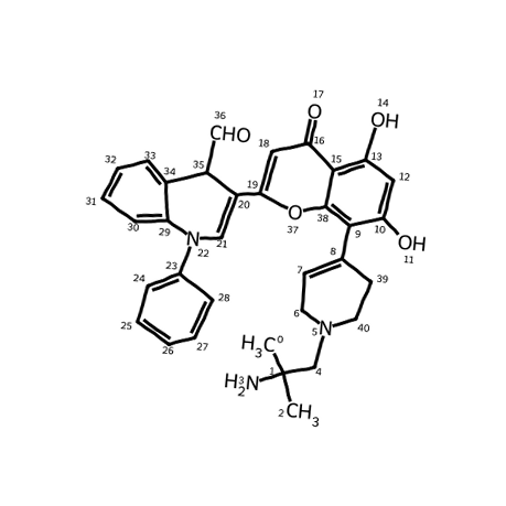 CC(C)(N)CN1CC=C(c2c(O)cc(O)c3c(=O)cc(C4=CN(c5ccccc5)c5ccccc5C4C=O)oc23)CC1